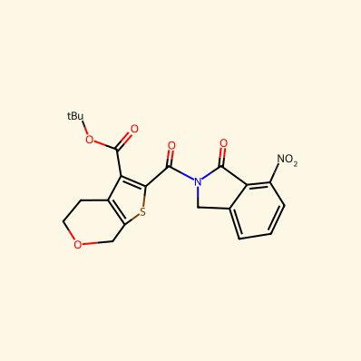 CC(C)(C)OC(=O)c1c(C(=O)N2Cc3cccc([N+](=O)[O-])c3C2=O)sc2c1CCOC2